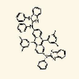 Cc1cc(C)cc(-c2c3ccc(N(c4ccccc4)c4nc5ccccc5n4-c4ccccc4)cc3c(-c3cc(C)cc(C)c3)c3ccc(N(c4ccccc4)c4nc5ccccc5s4)cc23)c1